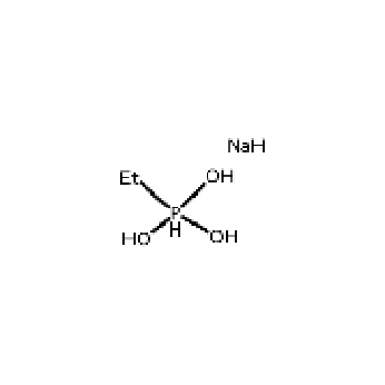 CC[PH](O)(O)O.[NaH]